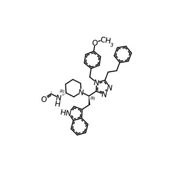 COc1ccc(Cn2c(CCc3ccccc3)nnc2[C@@H](Cc2c[nH]c3ccccc23)N2CCC[C@@H](N[C]=O)C2)cc1